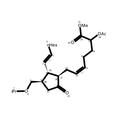 CCCCCC/C=C/[C@H]1[C@H](COC(C)C)CC(=O)[C@@H]1C/C=C\CCC(OC(C)=O)C(=O)OC